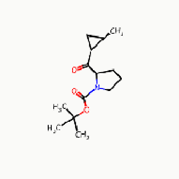 C[C@@H]1C[C@@H]1C(=O)C1CCCN1C(=O)OC(C)(C)C